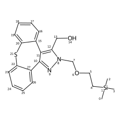 C[Si](C)(C)CCOCn1nc2c(c1CO)-c1ccccc1Sc1ccccc1-2